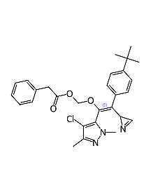 Cc1nn(C)c(/C(OCOC(=O)Cc2ccccc2)=C(/c2ccc(C(C)(C)C)cc2)C2C=N2)c1Cl